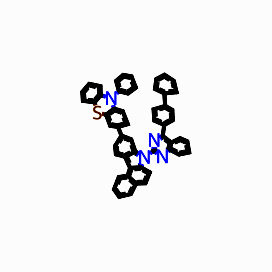 c1ccc(-c2ccc(-c3nc(-n4c5cc(-c6ccc7c(c6)Sc6ccccc6N7c6ccccc6)ccc5c5c6ccccc6ccc54)nc4ccccc34)cc2)cc1